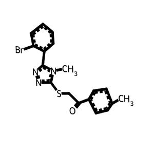 Cc1ccc(C(=O)CSc2nnc(-c3ccccc3Br)n2C)cc1